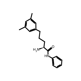 Cc1cc(C)cc(CCC[C@H](N)C(=O)Nc2ccccc2)c1